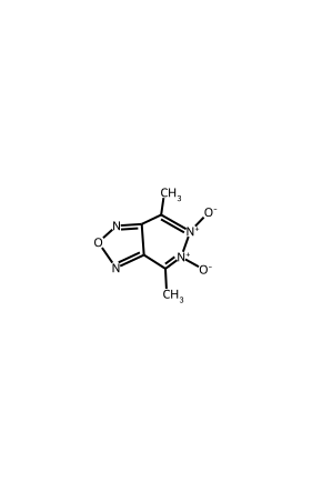 Cc1c2nonc2c(C)[n+]([O-])[n+]1[O-]